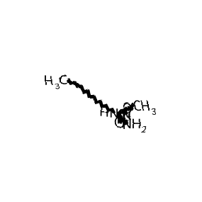 CCCCCCCCCCCCCCCCNc1cc(OCCC)nc(N)[n+]1[O-]